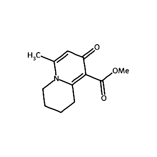 COC(=O)c1c2n(c(C)cc1=O)CCCC2